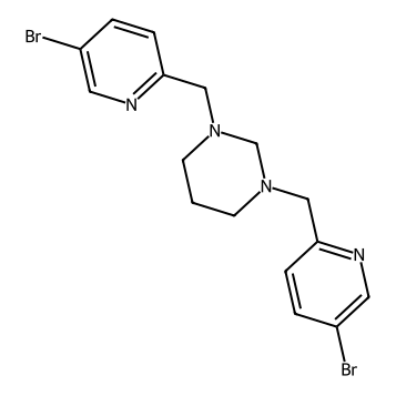 Brc1ccc(CN2CCCN(Cc3ccc(Br)cn3)C2)nc1